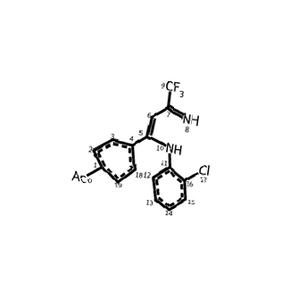 CC(=O)c1ccc(/C(=C/C(=N)C(F)(F)F)Nc2ccccc2Cl)cc1